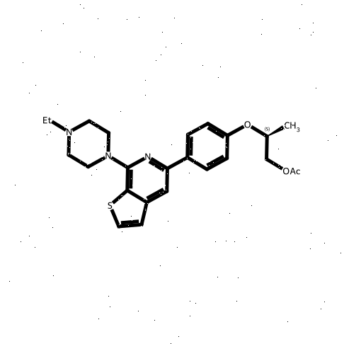 CCN1CCN(c2nc(-c3ccc(O[C@@H](C)COC(C)=O)cc3)cc3ccsc23)CC1